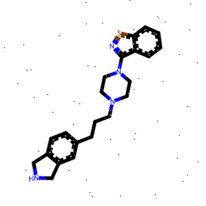 c1ccc2c(N3CCN(CCCc4ccc5c(c4)CNC5)CC3)nsc2c1